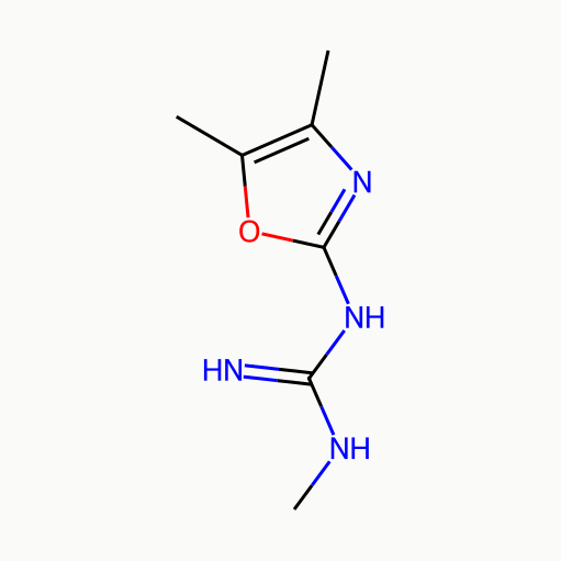 CNC(=N)Nc1nc(C)c(C)o1